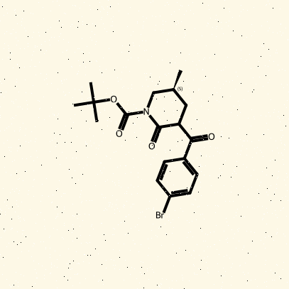 C[C@H]1CC(C(=O)c2ccc(Br)cc2)C(=O)N(C(=O)OC(C)(C)C)C1